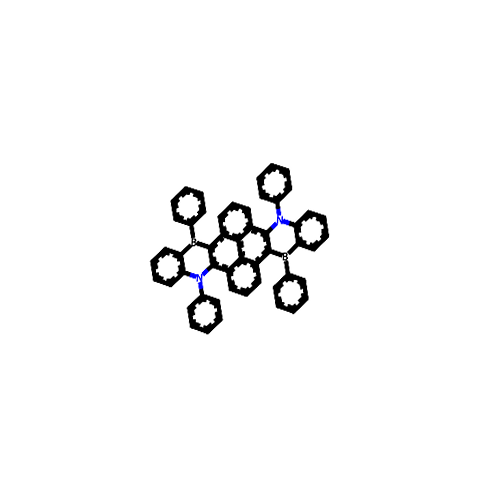 c1ccc(B2c3ccccc3N(c3ccccc3)c3c2c2cccc4c5c(c6cccc3c6c24)B(c2ccccc2)c2ccccc2N5c2ccccc2)cc1